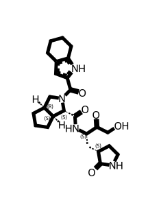 O=C1NCC[C@H]1C[C@H](NC(=O)[C@@H]1[C@H]2CCC[C@H]2CN1C(=O)c1cc2c([nH]1)CCCC2)C(=O)CO